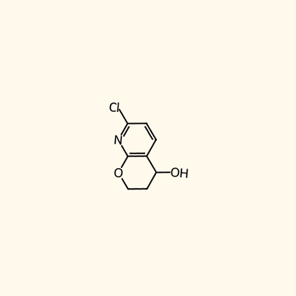 OC1CCOc2nc(Cl)ccc21